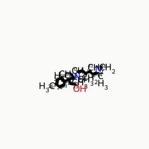 C=CC(C)(N(C)/C=C\C(=C)C(=C)/C=C(/C)N=C)C(C)(CCO)c1ccc(C)cc1C